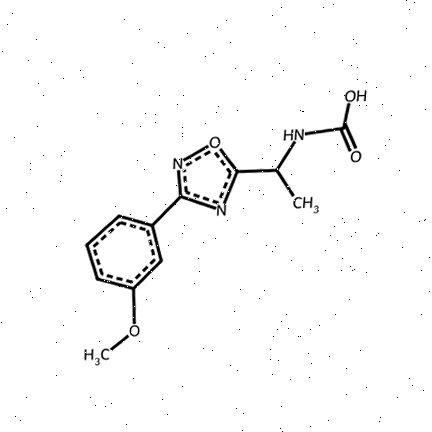 COc1cccc(-c2noc(C(C)NC(=O)O)n2)c1